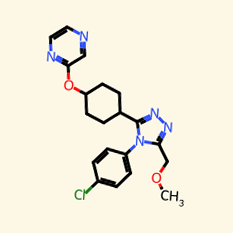 COCc1nnc(C2CCC(Oc3cnccn3)CC2)n1-c1ccc(Cl)cc1